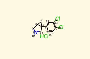 CN1CC2CC2(c2ccc(Cl)c(Cl)c2)C1.Cl